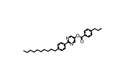 CCCCCCCCCCc1ccc(-c2ncc(OC(=O)c3ccc(CCC)cc3)cn2)cc1